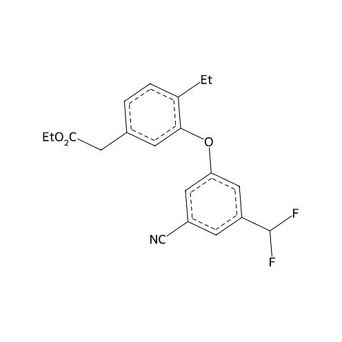 CCOC(=O)Cc1ccc(CC)c(Oc2cc(C#N)cc(C(F)F)c2)c1